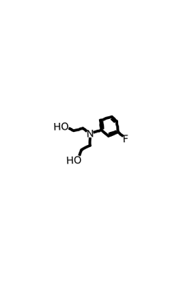 OCCN(CCO)c1cccc(F)c1